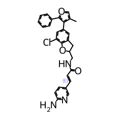 Cc1coc(-c2ccccc2)c1-c1cc(Cl)c2c(c1)CC(CNC(=O)/C=C/c1ccc(N)nc1)O2